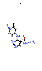 CC1CC(Nc2ncncc2C(=O)NN)CCN1C